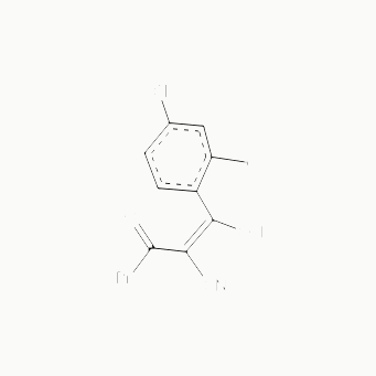 CC(C)C(=O)C(C#N)=C(O)c1ccc(Cl)cc1Cl